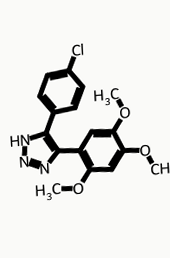 COc1cc(OC)c(-c2nn[nH]c2-c2ccc(Cl)cc2)cc1OC